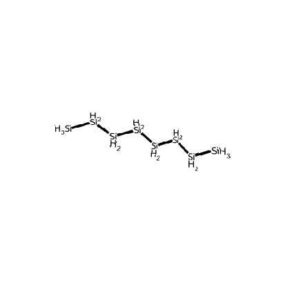 [SiH3][SiH2][SiH2][SiH2][SiH2][SiH2][SiH2][SiH3]